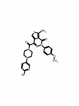 COc1ccc(-n2nc(C(=O)N3CCN(c4ccc([18F])nc4)CC3)c3csc(N)c3c2=O)cc1